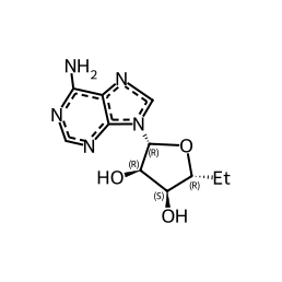 [14CH2]C[C@H]1O[C@@H](n2cnc3c(N)ncnc32)[C@H](O)[C@@H]1O